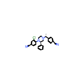 C[C@H](c1ccc(C#N)cc1)N1CCN(c2ccc(C#N)cc2Cl)[C@H](c2ccccc2)C1